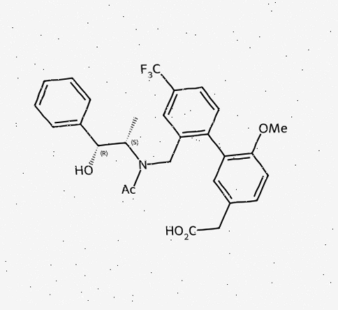 COc1ccc(CC(=O)O)cc1-c1ccc(C(F)(F)F)cc1CN(C(C)=O)[C@@H](C)[C@H](O)c1ccccc1